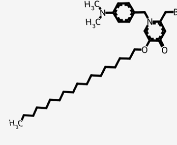 CCCCCCCCCCCCCCCCCCOc1cn(Cc2ccc(N(C)C)cc2)c(CBr)cc1=O